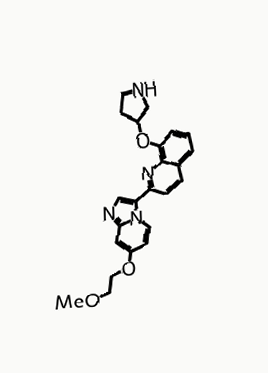 COCCOc1ccn2c(-c3ccc4cccc(OC5CCNC5)c4n3)cnc2c1